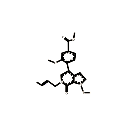 C/C=C/Cn1cc(-c2ccc(C(=O)OC)cc2OC)c2ccn(SI)c2c1=O